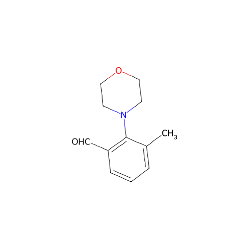 Cc1cccc(C=O)c1N1CCOCC1